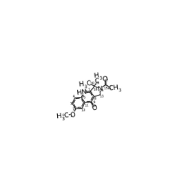 COc1ccc2[nH]c3c(c(=O)c2c1)CN(C(C)=O)C3(C)C